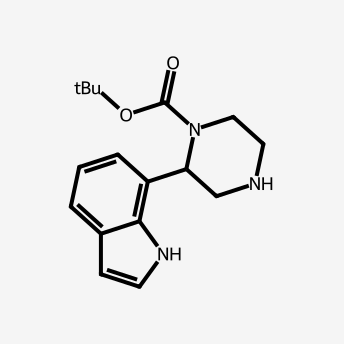 CC(C)(C)OC(=O)N1CCNCC1c1cccc2cc[nH]c12